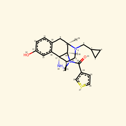 C[C@@H]1CN(CC2CC2)[C@@H]2Cc3ccc(O)cc3[C@@]1(N)[C@@H]2N(C)C(=O)c1ccsc1